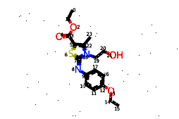 CCOC(=O)c1s/c(=N/c2ccc(OCC)cc2)n(CCO)c1C